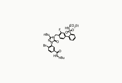 CCCCNC(=O)c1ccc(Br)c(-n2nc(CCCC)n(Cc3ccc(-c4ccccc4S(=O)(=O)NC(=O)OCC)cc3F)c2=O)c1